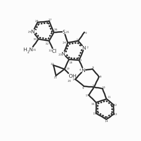 Cc1nc(N2CCC3(CC2)Cc2ccccc2C3)c(C2(O)CC2)nc1Sc1ccnc(N)c1Cl